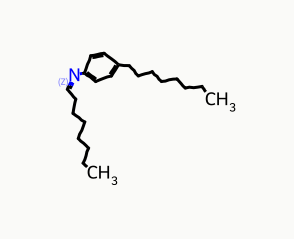 CCCCCCC/C=N\c1ccc(CCCCCCCC)cc1